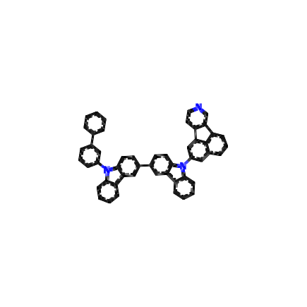 c1ccc(-c2cccc(-n3c4ccccc4c4cc(-c5ccc6c(c5)c5ccccc5n6-c5cc6c7c(cccc7c5)-c5cnccc5-6)ccc43)c2)cc1